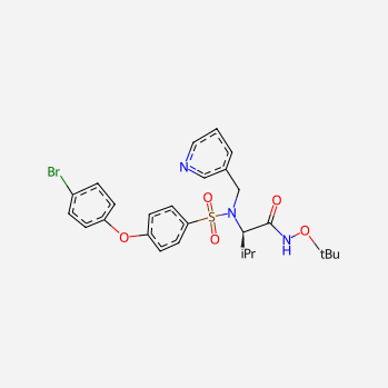 CC(C)[C@H](C(=O)NOC(C)(C)C)N(Cc1cccnc1)S(=O)(=O)c1ccc(Oc2ccc(Br)cc2)cc1